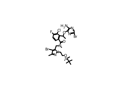 Cc1nn(CCO[Si](C)(C)C(C)(C)C)c(CN(C)C(=O)c2ccc(F)c(Cl)c2C(C)Oc2nc(Br)cnc2N)c1Br